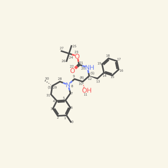 Cc1ccc2c(c1)CN(C[C@@H](O)[C@H](Cc1ccccc1)NC(=O)OC(C)(C)C)C[C@@H](C)C2